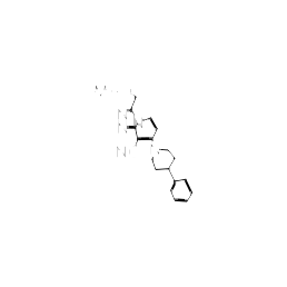 COCc1nnc2c(C#N)c(N3CCC(c4ccccc4)CC3)ccn12